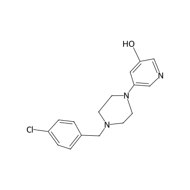 Oc1cncc(N2CCN(Cc3ccc(Cl)cc3)CC2)c1